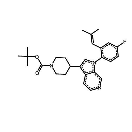 CC(C)=Cc1cc(F)ccc1-n1cc(C2CCN(C(=O)OC(C)(C)C)CC2)c2ccncc21